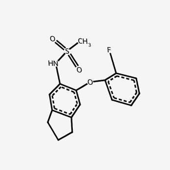 CS(=O)(=O)Nc1cc2c(cc1Oc1ccccc1F)CCC2